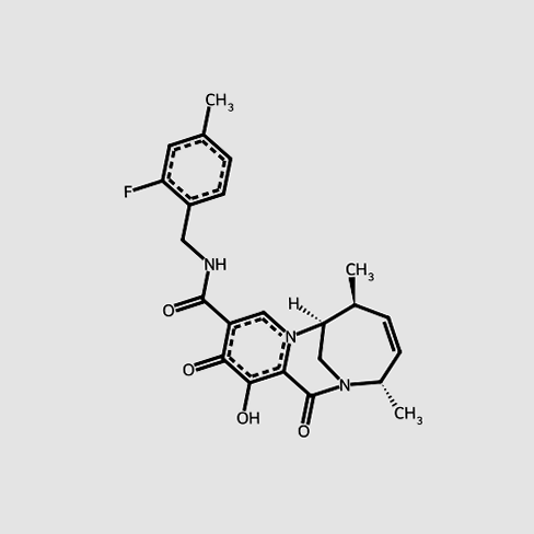 Cc1ccc(CNC(=O)c2cn3c(c(O)c2=O)C(=O)N2C[C@@H]3[C@@H](C)C=C[C@@H]2C)c(F)c1